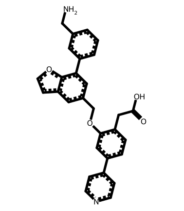 NCc1cccc(-c2cc(COc3cc(-c4ccncc4)ccc3CC(=O)O)cc3ccoc23)c1